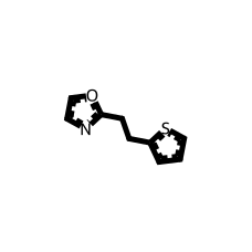 c1csc(CCc2ncco2)c1